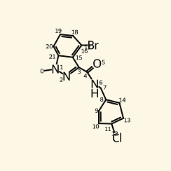 Cn1nc(C(=O)NCc2ccc(Cl)cc2)c2c(Br)cccc21